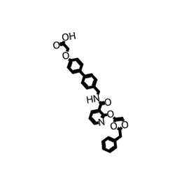 O=C(O)COc1ccc(-c2ccc(CNC(=O)c3cccnc3OC3=COC(Cc4ccccc4)O3)cc2)cc1